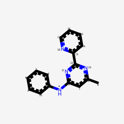 Cc1cc(Nc2ccccc2)nc(-c2ccccn2)n1